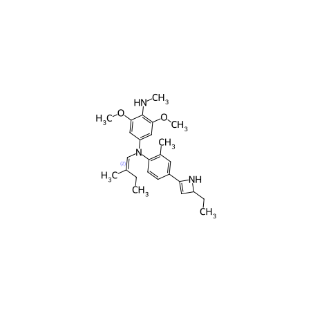 CC/C(C)=C\N(c1cc(OC)c(NC)c(OC)c1)c1ccc(C2=CC(CC)N2)cc1C